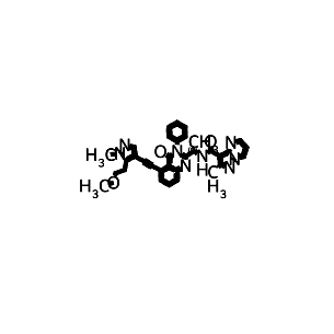 COCCc1c(C#Cc2cccc3nc([C@H](C)NC(=O)c4c(C)nn5cccnc45)n(-c4ccccc4)c(=O)c23)cnn1C